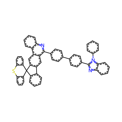 c1ccc(-n2c(-c3ccc(-c4ccc(-c5nc6ccccc6c6cc7c(cc56)-c5ccccc5C75c6ccccc6Sc6ccccc65)cc4)cc3)nc3ccccc32)cc1